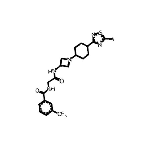 O=C(CNC(=O)c1cccc(C(F)(F)F)c1)NC1CN(C2CCC(c3nsc(I)n3)CC2)C1